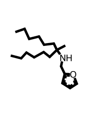 CCCCCCC(C)(CCCCCC)NCc1ccco1